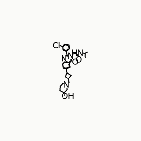 CC(C)NC(=O)Cn1c(-c2cccc(Cl)c2)nc2ccc(C3CC(CN4CCC[C@@H](O)C4)C3)cc2c1=O